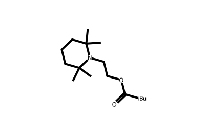 CCC(C)C(=O)OCCN1C(C)(C)CCCC1(C)C